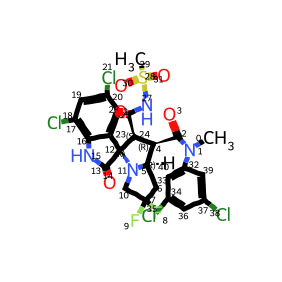 CN(C(=O)[C@H]1[C@H]2CC(F)(F)CN2[C@]2(C(=O)Nc3c(Cl)cc(Cl)cc32)[C@H]1C(=O)NS(C)(=O)=O)c1cc(Cl)cc(Cl)c1